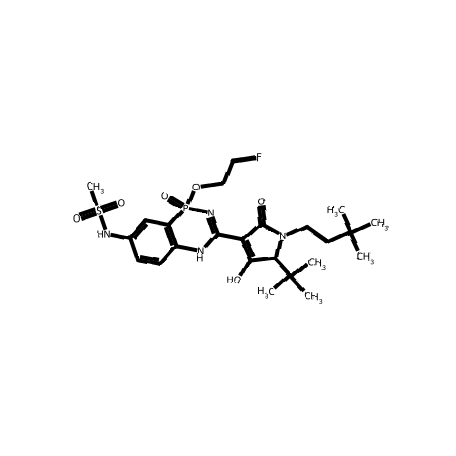 CC(C)(C)CCN1C(=O)C(C2=NP(=O)(OCCF)c3cc(NS(C)(=O)=O)ccc3N2)=C(O)C1C(C)(C)C